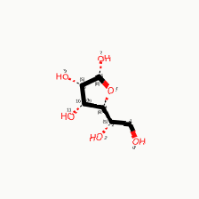 OC[C@H](O)[C@H]1O[C@@H](O)[C@@H](O)[C@H]1O